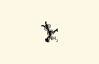 CCCN(CCC)S(=O)(=O)CCC(=O)O[C@H](CNCCC(C)C)[C@@H](N)Cc1cccs1